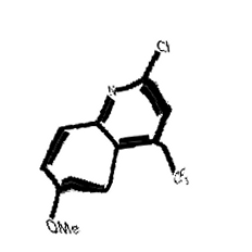 COc1ccc2nc(Cl)cc(C(F)(F)F)c2c1